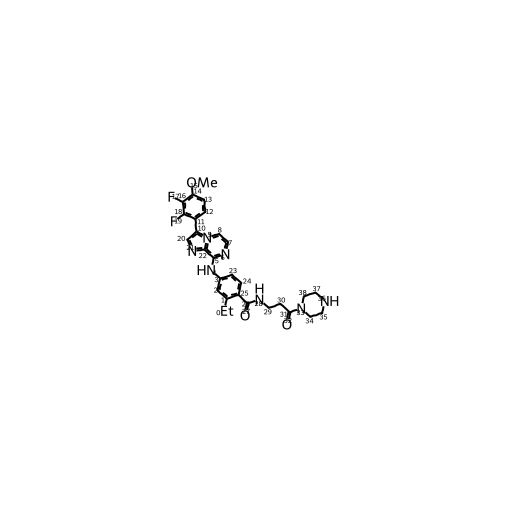 CCc1cc(Nc2nccn3c(-c4ccc(OC)c(F)c4F)cnc23)ccc1C(=O)NCCC(=O)N1CCNCC1